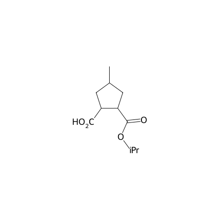 CC1CC(C(=O)O)C(C(=O)OC(C)C)C1